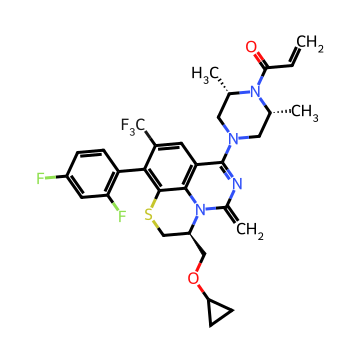 C=CC(=O)N1[C@H](C)CN(C2=NC(=C)N3c4c2cc(C(F)(F)F)c(-c2ccc(F)cc2F)c4SC[C@@H]3COC2CC2)C[C@@H]1C